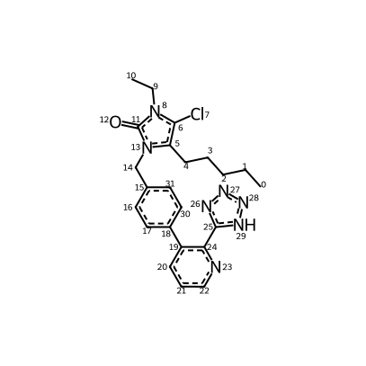 CCCCCc1c(Cl)n(CC)c(=O)n1Cc1ccc(-c2cccnc2-c2nnn[nH]2)cc1